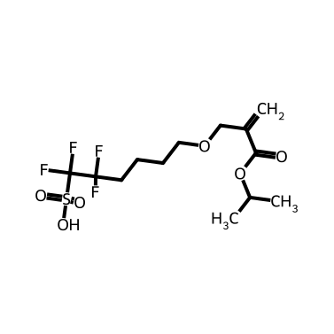 C=C(COCCCCC(F)(F)C(F)(F)S(=O)(=O)O)C(=O)OC(C)C